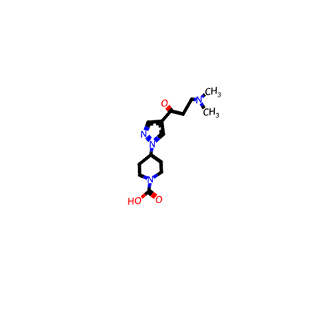 CN(C)CCC(=O)c1cnn(C2CCN(C(=O)O)CC2)c1